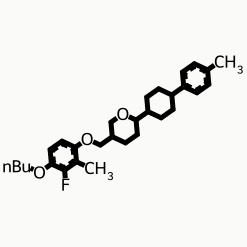 CCCCOc1ccc(OCC2CCC(C3CCC(c4ccc(C)cc4)CC3)OC2)c(C)c1F